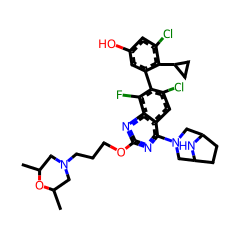 CC1CN(CCCOc2nc(N3CC4CCC(C3)N4)c3cc(Cl)c(-c4cc(O)cc(Cl)c4C4CC4)c(F)c3n2)CC(C)O1